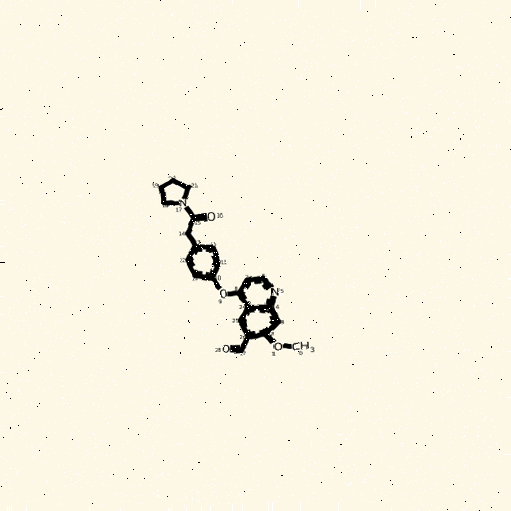 COc1cc2nccc(Oc3ccc(CC(=O)N4CCCC4)cc3)c2cc1C=O